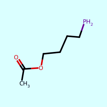 CC(=O)OCCCCP